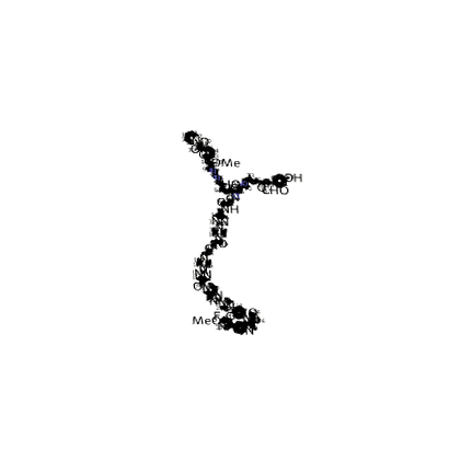 COc1ccc(-c2ccc3ncc4c(c3c2)n(-c2ccc(N3CCN(c5ncc6c(n5)CCN(C(=O)c5cnc(N7CCN(CCOCCC(=O)N8CCN(c9ncc(CNC(=O)CO/N=C(/C[C@H](O)/C(C)=C/[C@@H](C)CC[C@@H](CC[C@H]%10CC[C@H](O)CC%10)OC=O)[C@H](C)C[C@H](C)CC/C=C/C=C(\C)[C@H](CC%10CCCC(C(=O)C(=O)N%11CCCCC%11)O%10)OC)cn9)CC8)CC7)nc5)C6)CC3)c(C(F)(F)F)c2)c(=O)n4C)cn1